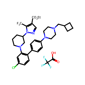 CCOC(=O)c1cnn(C2CCCN(c3cc(Cl)ccc3-c3ccc(N4CCN(CC5CCC5)CC4)cc3)C2)c1C(F)(F)F.O=C(O)C(F)(F)F